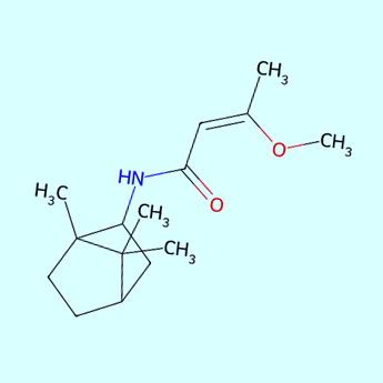 COC(C)=CC(=O)NC1CC2CCC1(C)C2(C)C